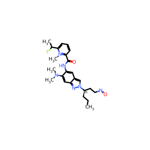 CCC[C@H](CCN=O)n1cc2cc(NC(=O)c3cccc(C(C)F)[n+]3C)c(N(C)C)cc2n1